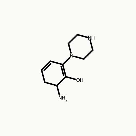 NC1CC=CC(N2CCNCC2)=C1O